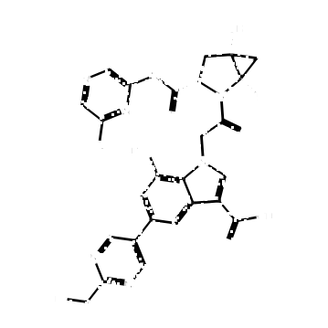 CC(=O)c1cn(CC(=O)N2[C@H](C(=O)Nc3cncc(Br)n3)C[C@@]3(C)C[C@@H]23)c2c(C)cc(-c3cnc(CO)nc3)cc12